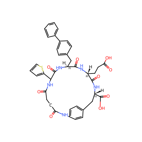 O=C(O)CC[C@H]1NC(=O)[C@H](Cc2ccc(-c3ccccc3)cc2)NC(=O)C(c2cccs2)NC(=O)CCC(=O)Nc2ccc(cc2)C[C@@H](C(=O)O)NC1=O